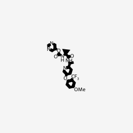 COc1ccc(Oc2ccc(C(C)NC(=O)C3(NC(=O)Oc4cncnc4)CC3)nc2)c(C(F)(F)F)c1